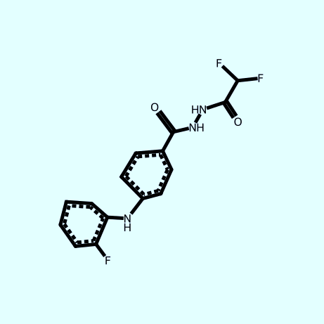 O=C(NNC(=O)C(F)F)c1ccc(Nc2ccccc2F)cc1